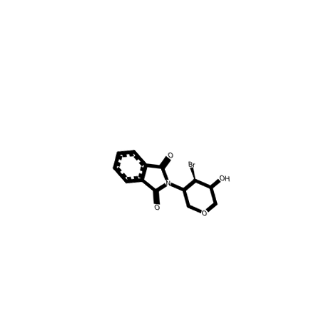 O=C1c2ccccc2C(=O)N1C1COCC(O)[C@@H]1Br